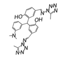 Cc1nnnn1N=Cc1ccc(O)c(C(c2cccc(N(C)C)c2)c2cc(C=Nn3nnnc3C)ccc2O)c1